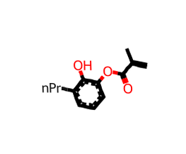 C=C(C)C(=O)Oc1cccc(CCC)c1O